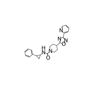 O=C(NC1CC1c1ccccc1)N1CCC(c2nc(-c3ccccn3)no2)CC1